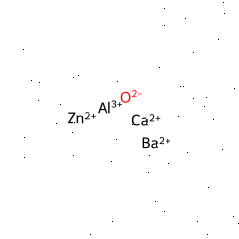 [Al+3].[Ba+2].[Ca+2].[O-2].[Zn+2]